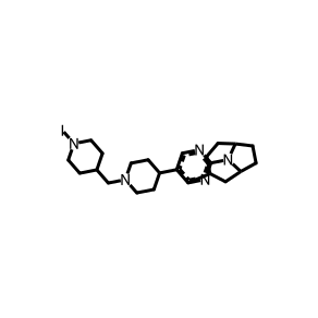 CC1CCC2CCC(C1)N2c1ncc(C2CCN(CC3CCN(I)CC3)CC2)cn1